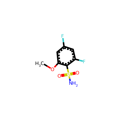 COc1cc(F)cc(F)c1S(N)(=O)=O